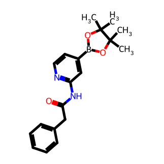 CC1(C)OB(c2ccnc(NC(=O)Cc3ccccc3)c2)OC1(C)C